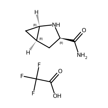 NC(=O)[C@H]1C[C@H]2C[C@H]2N1.O=C(O)C(F)(F)F